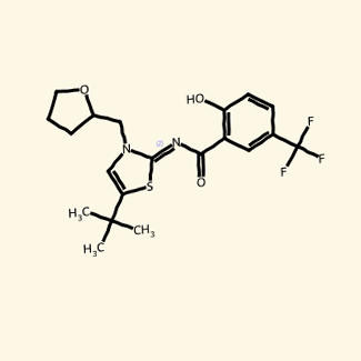 CC(C)(C)c1cn(CC2CCCO2)/c(=N/C(=O)c2cc(C(F)(F)F)ccc2O)s1